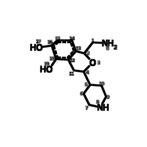 NCC1OC(C2CCNCC2)Cc2c1ccc(O)c2O